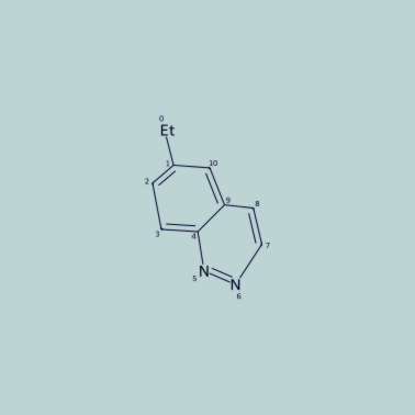 CCc1ccc2nnccc2c1